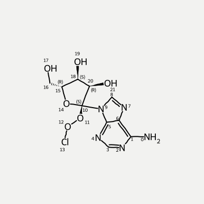 Nc1ncnc2c1ncn2[C@]1(OOCl)O[C@H](CO)[C@@H](O)[C@H]1O